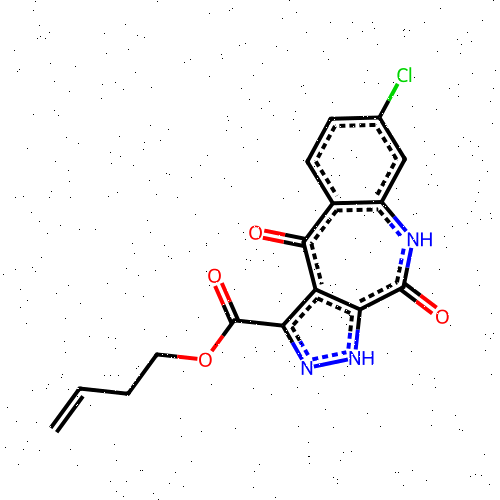 C=CCCOC(=O)c1n[nH]c2c(=O)[nH]c3cc(Cl)ccc3c(=O)c12